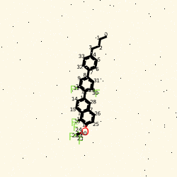 CCCCc1ccc(-c2cc(F)c(-c3ccc4c(F)c(OC(F)(F)F)ccc4c3)c(F)c2)cc1